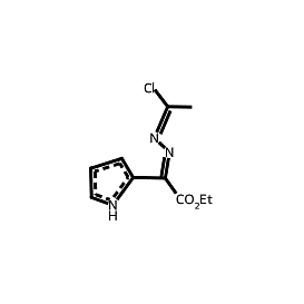 CCOC(=O)/C(=N/N=C(\C)Cl)c1ccc[nH]1